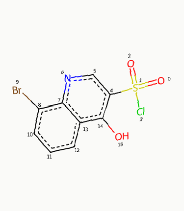 O=S(=O)(Cl)c1cnc2c(Br)cccc2c1O